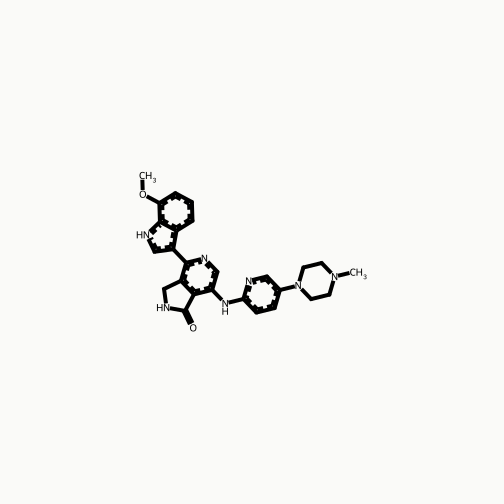 COc1cccc2c(-c3ncc(Nc4ccc(N5CCN(C)CC5)cn4)c4c3CNC4=O)c[nH]c12